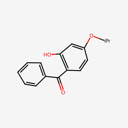 CC(C)Oc1ccc(C(=O)c2ccccc2)c(O)c1